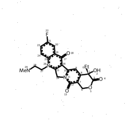 CC[C@@]1(O)C(=O)OCc2c1cc1n(c2=O)Cc2c-1c(=O)c1cc(F)ccc1n2CCNC